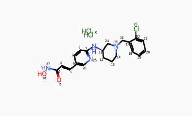 Cl.Cl.O=C(C=Cc1ccc(N[C@@H]2CCCN(Cc3ccccc3Cl)C2)nc1)NO